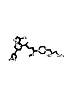 C=N/C(=C\C=C(/C)c1cc(-c2cnn(C)c2)cn2ncc(C#N)c12)N1CCN(C[C@@H](O)COC)CC1